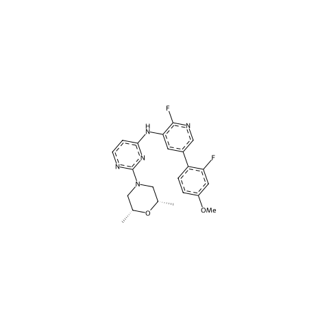 COc1ccc(-c2cnc(F)c(Nc3ccnc(N4C[C@@H](C)O[C@@H](C)C4)n3)c2)c(F)c1